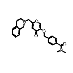 CN(C)C(=O)c1ccc(COc2coc(CN3CCc4ccccc4C3)cc2=O)cc1